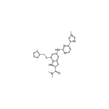 CN(C)C(=O)c1cc2cc(Nc3nccc(-c4cn(C)cn4)n3)cc(SCc3cccs3)c2[nH]1